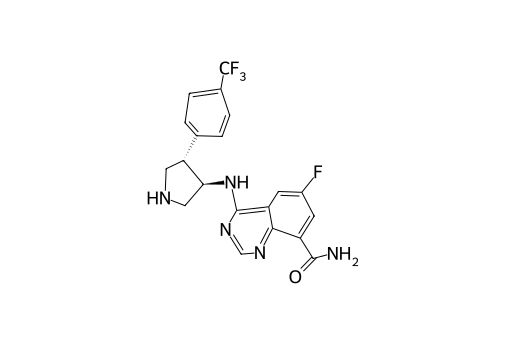 NC(=O)c1cc(F)cc2c(N[C@H]3CNC[C@@H]3c3ccc(C(F)(F)F)cc3)ncnc12